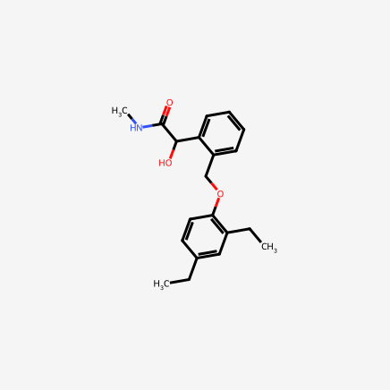 CCc1ccc(OCc2ccccc2C(O)C(=O)NC)c(CC)c1